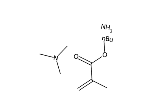 C=C(C)C(=O)OCCCC.CN(C)C.N